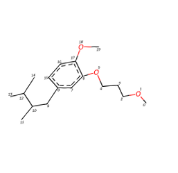 COCCCOc1cc(CC(C)C(C)C)ccc1OC